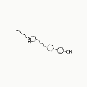 C=CCCC[SiH]1CCC(CCCCC2CCC(c3ccc(C#N)cc3)CC2)CC1